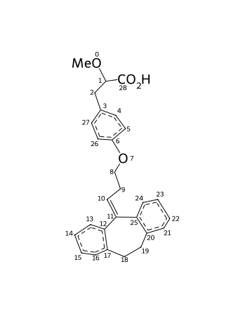 COC(Cc1ccc(OCCC=C2c3ccccc3CCc3ccccc32)cc1)C(=O)O